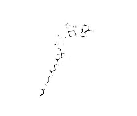 C=CC(=O)OSCCNC(=O)CCNC(=O)[C@H](O)C(C)(C)COP(=O)(O)OP(=O)(O)OC[C@H]1O[C@@H](n2cnc3c(N)ncnc32)[C@H](O)[C@@H]1OP(=O)(O)O